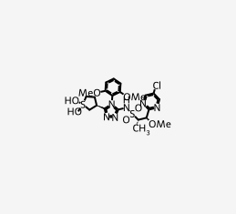 COc1cccc(OC)c1-n1c(NS(=O)(=O)[C@@H](C)[C@H](OC)c2ncc(Cl)cn2)nnc1[C@@H]1CCS(O)(O)C1